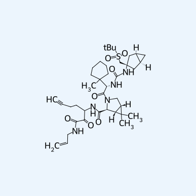 C#CCCC(NC(=O)[C@@H]1[C@@H]2[C@H](CN1C(=O)[C@@H](NC(=O)N[C@]1(CS(=O)(=O)C(C)(C)C)C[C@H]3C[C@H]3C1)C1(C)CCCCC1)C2(C)C)C(=O)C(=O)NCC=C